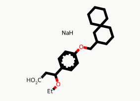 CCOC(CC(=O)O)c1ccc(OCC2CCCC3(CCCCC3)C2)cc1.[NaH]